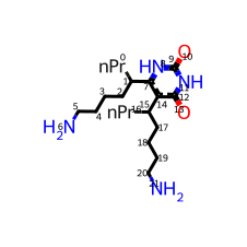 CCCC(CCCCN)c1[nH]c(=O)[nH]c(=O)c1C(CCC)CCCCN